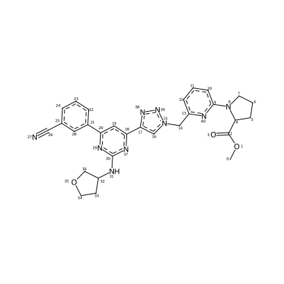 COC(=O)C1CCCN1c1cccc(Cn2cc(-c3cc(-c4cccc(C#N)c4)nc(NC4CCOC4)n3)nn2)n1